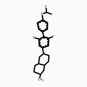 CC1CCC2CC(c3cc(F)c(-c4ccc(OC(F)F)cc4)c(F)c3)CCC2C1